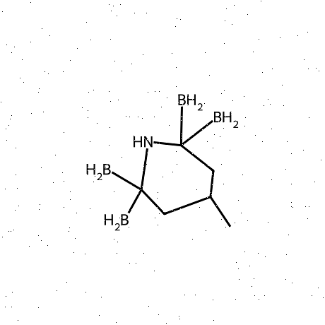 BC1(B)CC(C)CC(B)(B)N1